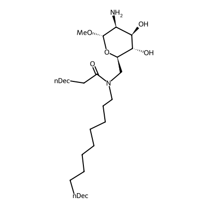 CCCCCCCCCCCCCCCCCCN(C[C@H]1O[C@H](OC)[C@@H](N)[C@@H](O)[C@@H]1O)C(=O)CCCCCCCCCCC